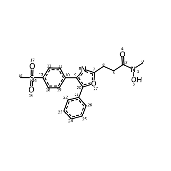 CN(O)C(=O)CCc1nc(-c2ccc(S(C)(=O)=O)cc2)c(-c2ccccc2)o1